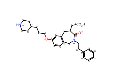 O=C(O)CC1Cc2cc(OCCCC3CCNCC3)ccc2CN(CCc2ccccc2)C1=O